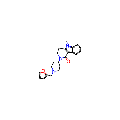 Cn1c2c(c3ccccc31)C(=O)N(C1CCN(Cc3ccco3)CC1)CC2